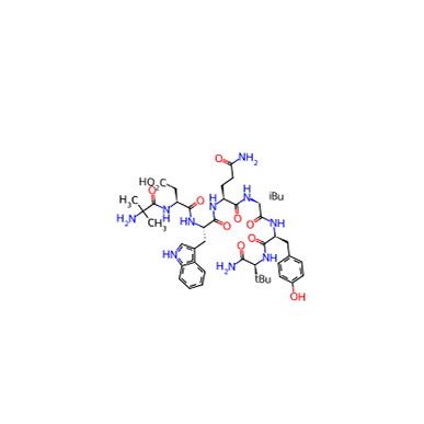 CC[C@H](C)[C@H](NC(=O)[C@H](CCC(N)=O)NC(=O)[C@H](Cc1c[nH]c2ccccc12)NC(=O)[C@H](CC(=O)O)NC(=O)C(C)(C)N)C(=O)N[C@@H](Cc1ccc(O)cc1)C(=O)N[C@H](C(N)=O)C(C)(C)C